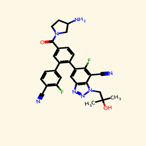 CC(C)(O)Cn1nnc2cc(-c3ccc(C(=O)N4CCC(N)C4)cc3-c3ccc(C#N)c(F)c3)c(F)c(C#N)c21